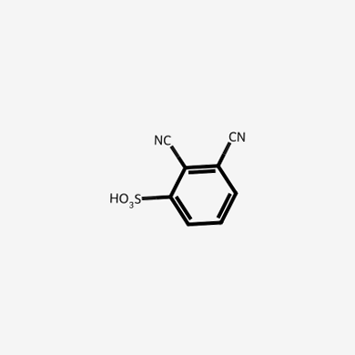 N#Cc1cccc(S(=O)(=O)O)c1C#N